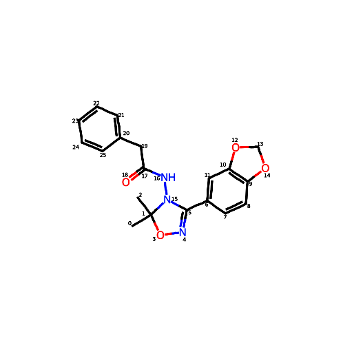 CC1(C)ON=C(c2ccc3c(c2)OCO3)N1NC(=O)Cc1ccccc1